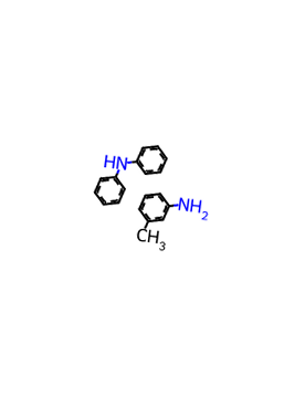 Cc1cccc(N)c1.c1ccc(Nc2ccccc2)cc1